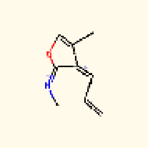 C=C/C=C1/C(C)=CO/C1=N/C